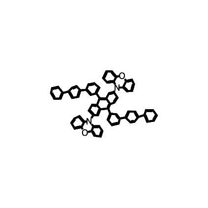 c1ccc(-c2ccc(-c3cccc(-c4c5ccc(N6c7ccccc7Oc7ccccc76)cc5c(-c5cccc(-c6ccc(-c7ccccc7)cc6)c5)c5ccc(N6c7ccccc7Oc7ccccc76)cc45)c3)cc2)cc1